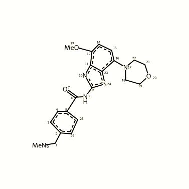 CNCc1ccc(C(=O)Nc2nc3c(OC)ccc(N4CCOCC4)c3s2)cc1